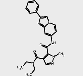 CCN(CC)C(=O)c1cnn(C)c1C(=O)Nc1ccn2cc(-c3ccccc3)nc2c1